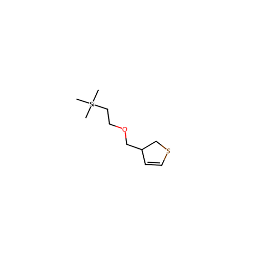 C[Si](C)(C)CCOCC1C=CSC1